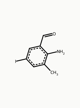 Cc1cc(I)cc(C=O)c1N